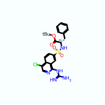 CC(C)(C)OC(=O)[C@H](Cc1ccccc1)NS(=O)(=O)c1ccc2c(Cl)cnc(NC(=N)N)c2c1